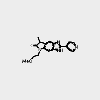 COCCN1C(=O)C(C)c2cc3nc(-c4ccncc4)[nH]c3cc21